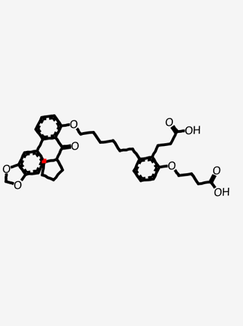 O=C(O)CCCOc1cccc(CCCCCCOc2cccc(-c3ccc4c(c3)OCO4)c2C(=O)C2CCCC2)c1CCC(=O)O